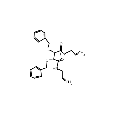 C=CCNC(=O)[C@H](OCc1ccccc1)[C@@H](OCc1ccccc1)C(=O)NCC=C